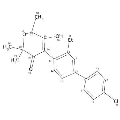 CCc1cc(-c2ccc(Cl)cc2)ccc1C1=C(O)C(C)OC(C)(C)C1=O